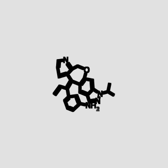 C=CC(=C1c2cc3cnn(C(C)C)c3cc2OCc2ncccc21)c1cccc(N)c1